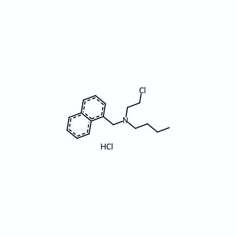 CCCCN(CCCl)Cc1cccc2ccccc12.Cl